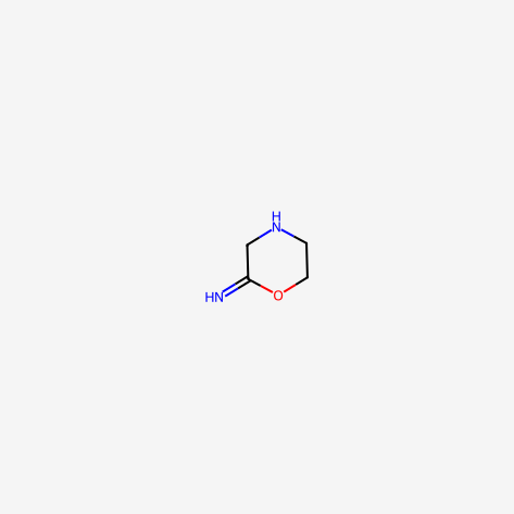 N=C1CNCCO1